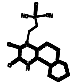 O=c1[nH]c2c3ccccc3ccc2n(CCP(=O)(O)O)c1=O